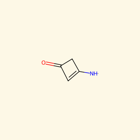 [NH]C1=CC(=O)C1